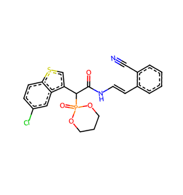 N#Cc1ccccc1C=CNC(=O)C(c1csc2ccc(Cl)cc12)P1(=O)OCCCO1